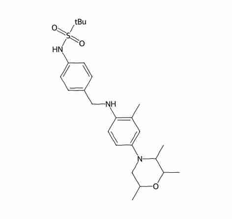 Cc1cc(N2CC(C)OC(C)C2C)ccc1NCc1ccc(NS(=O)(=O)C(C)(C)C)cc1